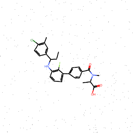 CCC(Nc1cccc(-c2ccc(C(=O)N(C)C(C)C(=O)O)cc2)c1F)c1ccc(Cl)c(C)c1